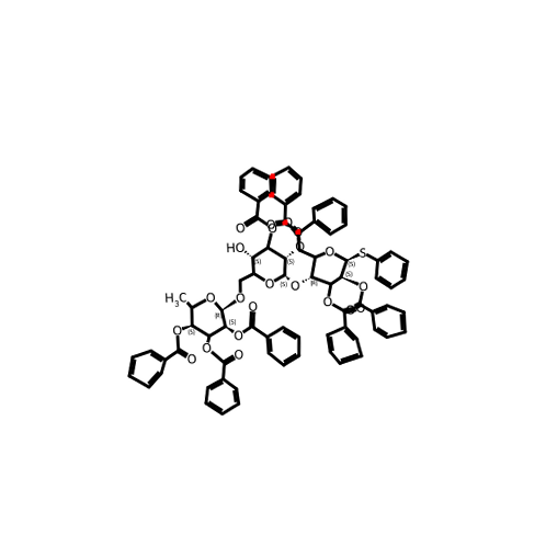 CC1O[C@@H](OCC2O[C@@H](O[C@@H]3C(COC(=O)c4ccccc4)O[C@@H](Sc4ccccc4)[C@@H](OC(=O)c4ccccc4)C3OC(=O)c3ccccc3)[C@@H](OC(=O)c3ccccc3)C(OC(=O)c3ccccc3)[C@H]2O)[C@@H](OC(=O)c2ccccc2)C(OC(=O)c2ccccc2)[C@H]1OC(=O)c1ccccc1